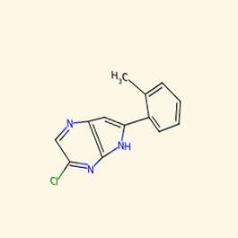 Cc1ccccc1-c1cc2ncc(Cl)nc2[nH]1